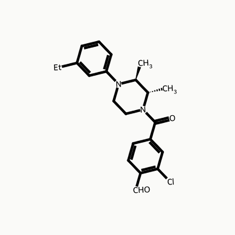 CCc1cccc(N2CCN(C(=O)c3ccc(C=O)c(Cl)c3)[C@@H](C)[C@@H]2C)c1